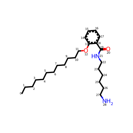 CCCCCCCCCCCCOc1ccccc1C(=O)NCCCCCCN